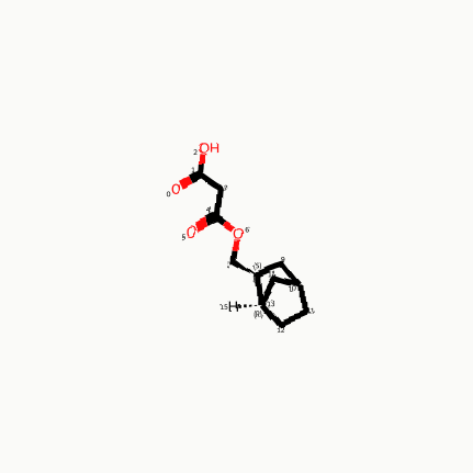 O=C(O)CC(=O)OC[C@H]1CC2CC[C@@H]1C2